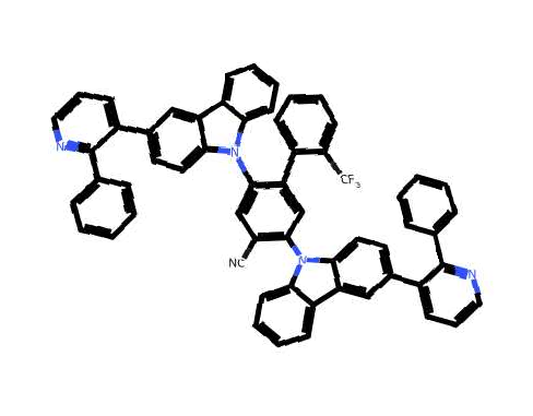 N#Cc1cc(-n2c3ccccc3c3cc(-c4cccnc4-c4ccccc4)ccc32)c(-c2ccccc2C(F)(F)F)cc1-n1c2ccccc2c2cc(-c3cccnc3-c3ccccc3)ccc21